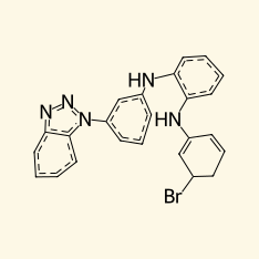 BrC1C=C(Nc2ccccc2Nc2cccc(-n3nnc4ccccc43)c2)C=CC1